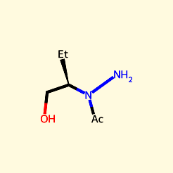 CC[C@H](CO)N(N)C(C)=O